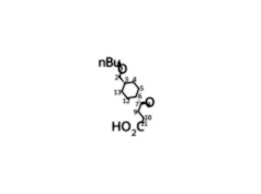 CCCCOC[C@H]1CC[C@H](C(=O)CCC(=O)O)CC1